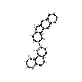 c1ccc2cc3c(cc2c1)oc1ccc(-c2ccc4ccc5cccnc5c4n2)cc13